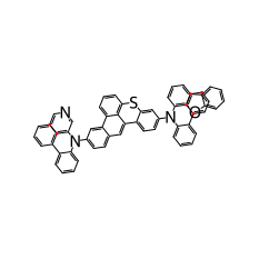 c1ccc(-c2ccccc2N(c2cccnc2)c2ccc3cc4c5c(cccc5c3c2)Sc2cc(N(c3ccccc3-c3ccccc3)c3cccc5c3oc3ccccc35)ccc2-4)cc1